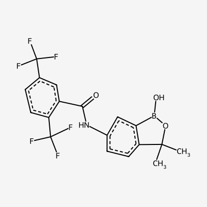 CC1(C)OB(O)c2cc(NC(=O)c3cc(C(F)(F)F)ccc3C(F)(F)F)ccc21